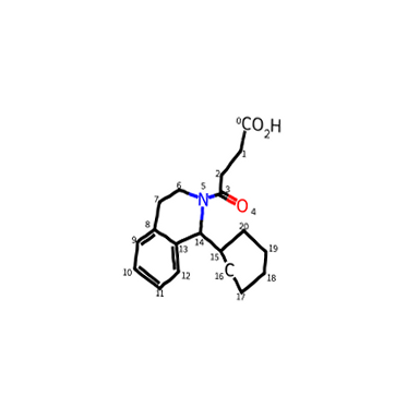 O=C(O)CCC(=O)N1CCc2ccccc2C1C1CCCCC1